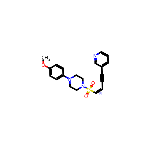 COc1ccc(N2CCN(S(=O)(=O)/C=C\C#Cc3cccnc3)CC2)cc1